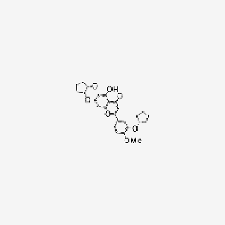 COc1ccc(-c2cc(=O)c3c(O)cc(OC4CCCC4=O)cc3o2)cc1OC1CCCC1